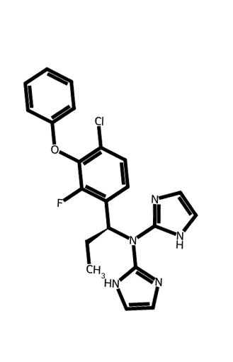 CC[C@@H](c1ccc(Cl)c(Oc2ccccc2)c1F)N(c1ncc[nH]1)c1ncc[nH]1